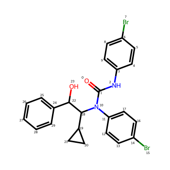 O=C(Nc1ccc(Br)cc1)N(c1ccc(Br)cc1)C(C1CC1)C(O)c1ccccc1